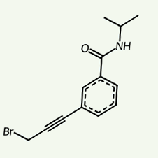 CC(C)NC(=O)c1cccc(C#CCBr)c1